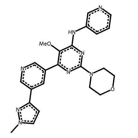 COc1c(Nc2cccnc2)nc(N2CCOCC2)nc1-c1cncc(-c2ccn(C)n2)c1